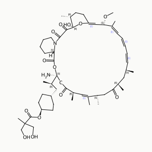 CO[C@H]1/C=C2\CC[C@@H](C)[C@@](O)(O2)C(=O)C(=O)N2CCCC[C@H]2C(=O)O[C@](N)([C@H](C)C[C@H]2CC[C@H](OC(=O)C(C)(CO)CO)CC2)CC(=O)[C@H](C)/C=C(\C)[C@@H](C)CC(=O)[C@H](C)C[C@H](C)/C=C/C=C/C=C/1C